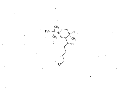 CCCCCC(=O)C1=CN(C(C)(C)C)CCC1(C)C